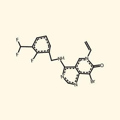 C=Cn1cc2c(NCc3cccc(C(F)F)c3F)ncnc2c(Br)c1=O